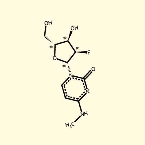 CNc1ccn([C@@H]2O[C@H](CO)[C@@H](O)[C@H]2F)c(=O)n1